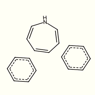 C1=CC=CNC=C1.c1ccccc1.c1ccccc1